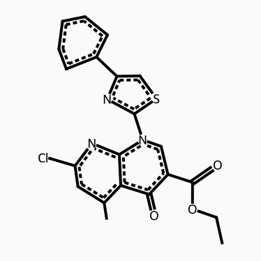 CCOC(=O)c1cn(-c2nc(-c3ccccc3)cs2)c2nc(Cl)cc(C)c2c1=O